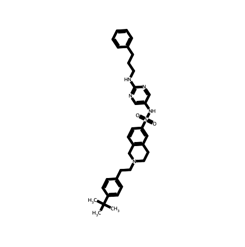 CC(C)(C)c1ccc(CCN2CCc3cc(S(=O)(=O)Nc4cnc(NCCCc5ccccc5)nc4)ccc3C2)cc1